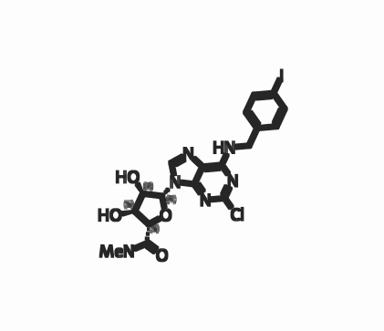 CNC(=O)[C@H]1O[C@@H](n2cnc3c(NCc4ccc(I)cc4)nc(Cl)nc32)[C@H](O)[C@@H]1O